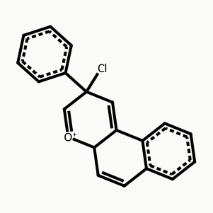 ClC1(c2ccccc2)C=[O+]C2C=Cc3ccccc3C2=C1